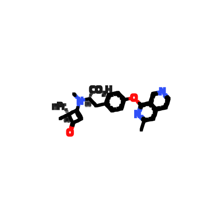 CCC[C@@]1(C)C(=O)C=C1N(C)[C@@H](Cc1ccc(Oc2nc(C)cc3ccncc23)cc1)C(=O)O